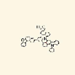 C/C=C\C=C/Cc1ccccc1N(c1ccc2c(c1)c1ccccc1n2-c1ccccc1)c1ccc(-c2ccc3c(ccc4oc5ccccc5c43)c2)cc1-c1ccccc1